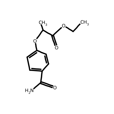 CCOC(=O)C(C)Oc1ccc(C(N)=O)cc1